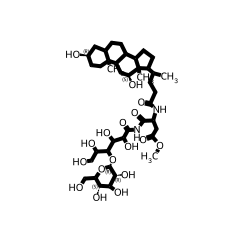 COC(=O)CC(NC(=O)CCC(C)C1CCC2C3CCC4C[C@H](O)CCC4(C)C3C[C@H](O)C12C)C(=O)NC(=O)C(O)C(O)C(O[C@H]1OC(CO)[C@@H](O)C(O)[C@H]1O)C(O)CO